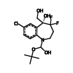 CC(C)(C)OC(O)N1CCC(F)(F)[C@](O)(CO)c2cc(Cl)ccc21